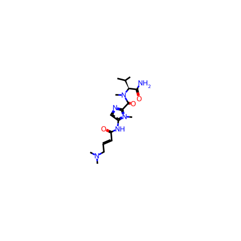 CC(C)[C@@H](C(N)=O)N(C)C(=O)c1ncc(NC(=O)/C=C/CN(C)C)n1C